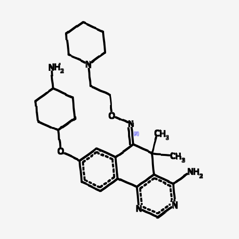 CC1(C)/C(=N/OCCN2CCCCC2)c2cc(OC3CCC(N)CC3)ccc2-c2ncnc(N)c21